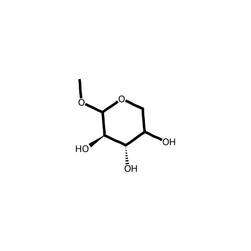 COC1OCC(O)[C@H](O)[C@H]1O